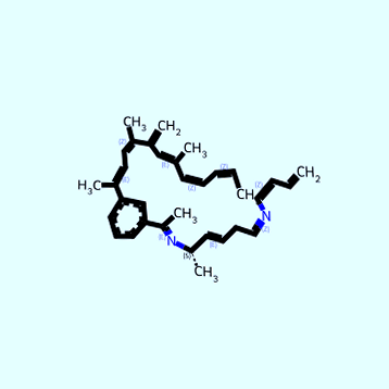 C=C/C=C\N=C/C/C=C/[C@H](C)/N=C(\C)c1cccc(/C(C)=C/C=C(/C)C(=C)/C=C(C)/C=C\C=C/C)c1